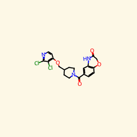 O=C1COc2ccc(C(=O)N3CCC(COc4ccnc(Cl)c4Cl)CC3)cc2N1